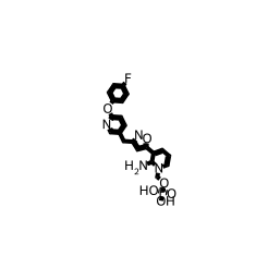 NC1C(c2cc(Cc3ccc(Oc4ccc(F)cc4)nc3)no2)=CC=CN1COP(=O)(O)O